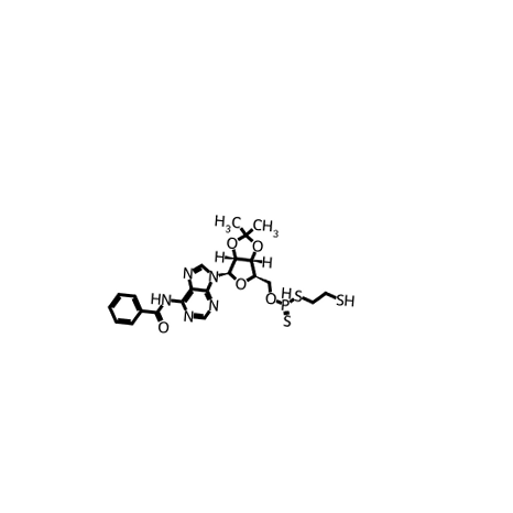 CC1(C)O[C@@H]2[C@H](O1)[C@@H](CO[PH](=S)SCCS)O[C@H]2n1cnc2c(NC(=O)c3ccccc3)ncnc21